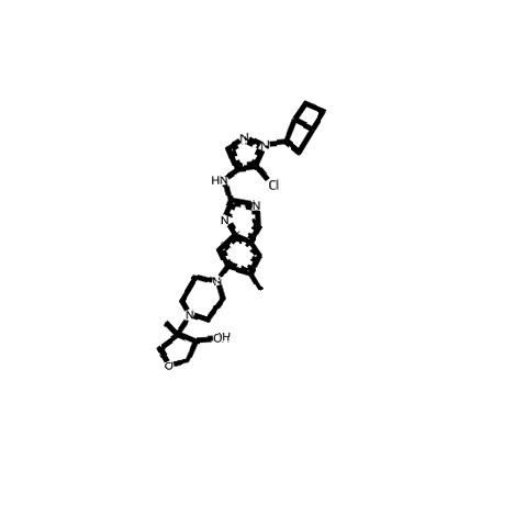 Cc1cc2cnc(Nc3cnn(C4CC5CCC54)c3Cl)nc2cc1N1CCN(C2(C)COCC2O)CC1